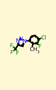 Cc1c(-n2cc(C(F)(F)F)nn2)ccc(Cl)c1F